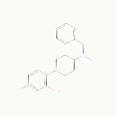 O=C(O)N(Cc1ccccc1)C1CCC(c2ccc(O)cc2O)CC1